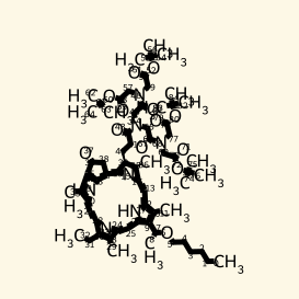 CCCCCCOC(C)c1c(C)c2cc3nc(c4c5[nH]c(cc6nc(cc1[nH]2)C(C)=C6CC)c(C)c5C(=O)C4)[C@@H](CCC(=O)N(CC(=O)N(CC(=O)OC(C)(C)C)CC(=O)OC(C)(C)C)CC(=O)N(CC(=O)OC(C)(C)C)CC(=O)OC(C)(C)C)[C@@H]3C